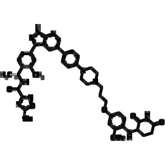 COc1cc(OCCCN2CCN(c3ccc(-c4cnc5[nH]nc(-c6ccc([C@@H](C)NC(=O)c7noc(C(C)(C)C)n7)c(C)c6)c5c4)cc3)CC2)ccc1NC1CCC(=O)NC1=O